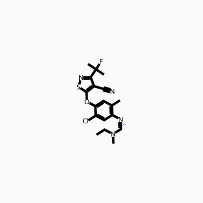 CCN(C)/C=N\c1cc(Cl)c(Oc2snc(C(C)(C)F)c2C#N)cc1C